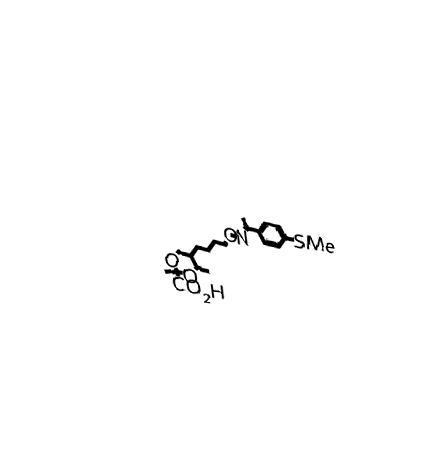 CSc1ccc(C(C)=NOCCCCC2COC(C)(C(=O)O)OC2C)cc1